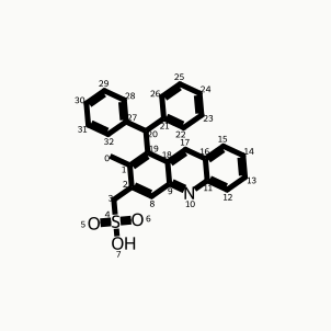 Cc1c(CS(=O)(=O)O)cc2nc3ccccc3cc2c1C(c1ccccc1)c1ccccc1